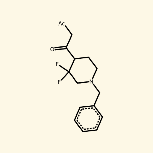 CC(=O)CC(=O)C1CCN(Cc2ccccc2)CC1(F)F